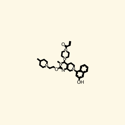 C=CC(=O)N1CCN(C2C3=C(CN(c4cc(O)cc5ccccc45)CC3)N=C(OCCN3CCC(C)CC3)N2C)CC1